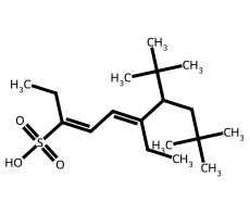 CC/C(=C\C=C(/CC)S(=O)(=O)O)C(CC(C)(C)C)C(C)(C)C